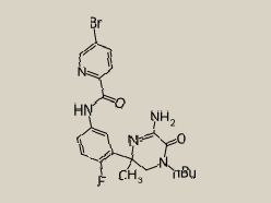 CCCCN1CC(C)(c2cc(NC(=O)c3ccc(Br)cn3)ccc2F)N=C(N)C1=O